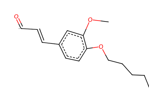 CCCCCOc1ccc(C=C[C]=O)cc1OC